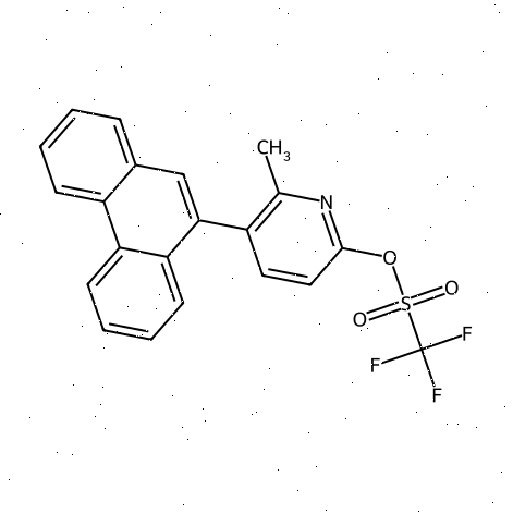 Cc1nc(OS(=O)(=O)C(F)(F)F)ccc1-c1cc2ccccc2c2ccccc12